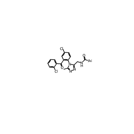 CC(=O)C(=O)NCc1nnc(C)n1-c1ccc(Cl)cc1C(=O)c1ccccc1Cl